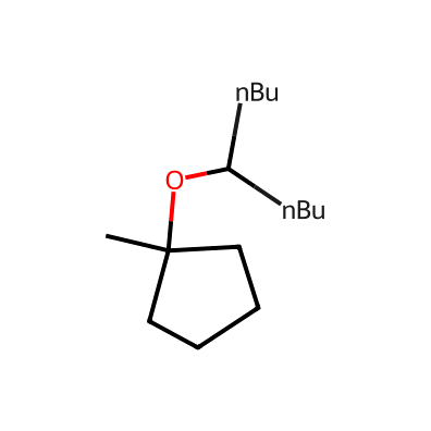 CCCCC(CCCC)OC1(C)CCCC1